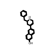 Oc1ccc2cc(C3=CCNC(Cc4ccccc4)C3)ccc2c1